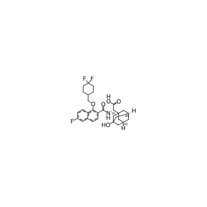 O=C(N[C@H](C(=O)O)C12C[C@@H]3C[C@@H](CC(O)(C3)C1)C2)c1ccc2cc(F)ccc2c1OCC1CCC(F)(F)CC1